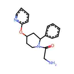 NCC(=O)N1CCC(Oc2ccccn2)CC1c1ccccc1